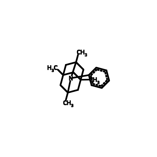 CC12CC3(C)CC(C)(C1)N(c1ccccc1)C(C)(C2)C3